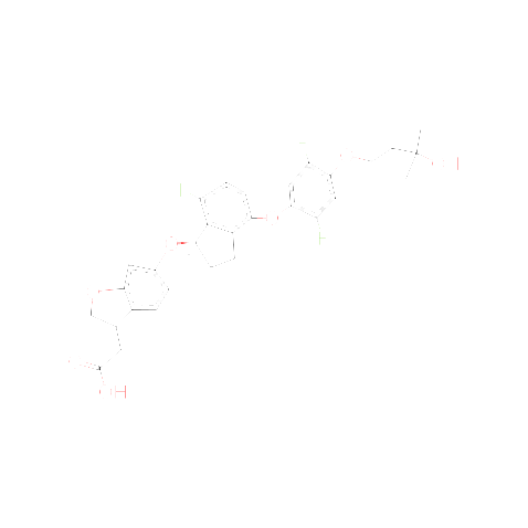 CC(C)(O)CCOc1cc(F)c(Oc2ccc(F)c3c2CC[C@H]3Oc2ccc3c(c2)OCC3CC(=O)O)cc1F